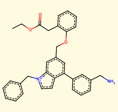 CCOC(=O)Cc1ccccc1OCc1cc(-c2cccc(CN)c2)c2ccn(Cc3ccccc3)c2c1